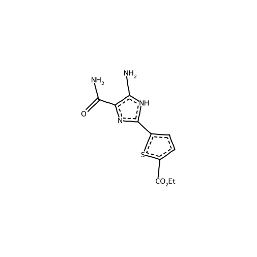 CCOC(=O)c1ccc(-c2nc(C(N)=O)c(N)[nH]2)s1